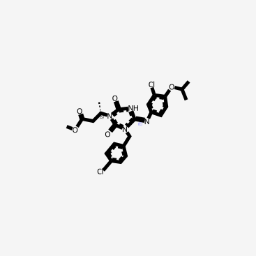 COC(=O)C[C@H](C)n1c(=O)[nH]/c(=N\c2ccc(OC(C)C)c(Cl)c2)n(Cc2ccc(Cl)cc2)c1=O